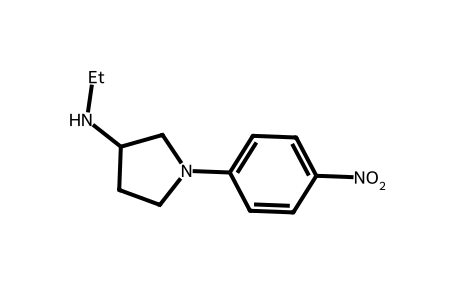 CCNC1CCN(c2ccc([N+](=O)[O-])cc2)C1